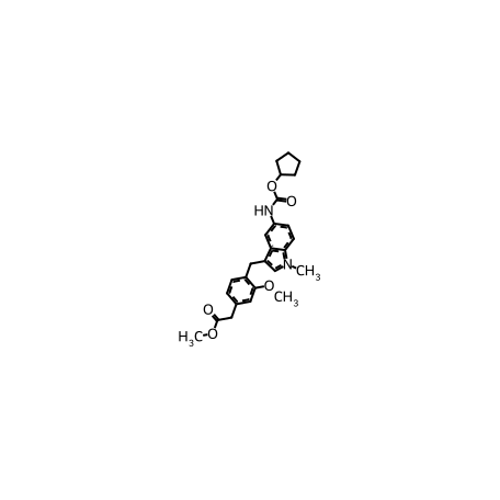 COC(=O)Cc1ccc(Cc2cn(C)c3ccc(NC(=O)OC4CCCC4)cc23)c(OC)c1